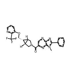 Cn1c(-c2ccccc2)nc2ncc(C(=O)N3C[C@@H]4[C@H](COc5cccnc5C(F)(F)F)[C@@H]4C3)nc21